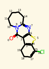 O=c1c2c3c(sc2nc2n1CCCCC2)C(Cl)=CCC3